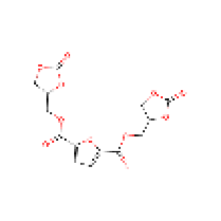 O=C1OCC(COC(=O)c2ccc(C(=O)OCC3COC(=O)O3)o2)O1